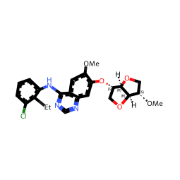 CCc1c(Cl)cccc1Nc1ncnc2cc(O[C@H]3CO[C@H]4[C@@H]3OC[C@@H]4OC)c(OC)cc12